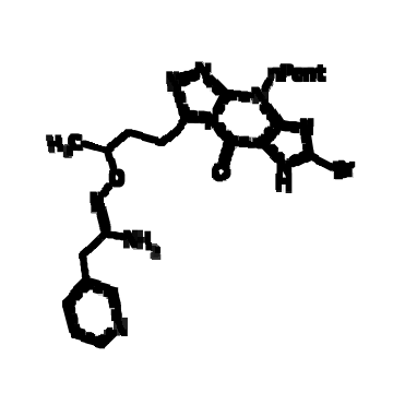 CCCCCn1c2nc(Br)[nH]c2c(=O)n2c(CCC(C)O/N=C(\N)Cc3cccnc3)nnc12